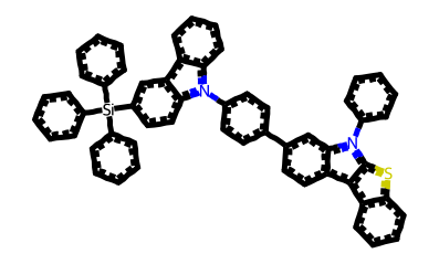 c1ccc(-n2c3cc(-c4ccc(-n5c6ccccc6c6cc([Si](c7ccccc7)(c7ccccc7)c7ccccc7)ccc65)cc4)ccc3c3c4ccccc4sc32)cc1